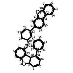 C1=CC2Oc3cccc(NC4C=C(c5ccc6c(c5)oc5ccccc56)C=CC4)c3C2C(c2ccccc2)=C1